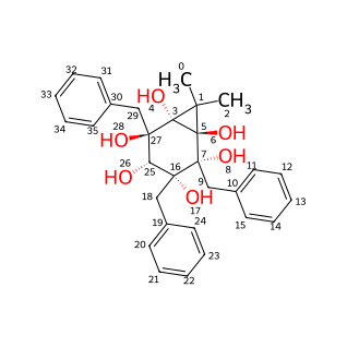 CC1(C)[C@@]2(O)[C@@]1(O)[C@@](O)(Cc1ccccc1)[C@@](O)(Cc1ccccc1)[C@H](O)[C@]2(O)Cc1ccccc1